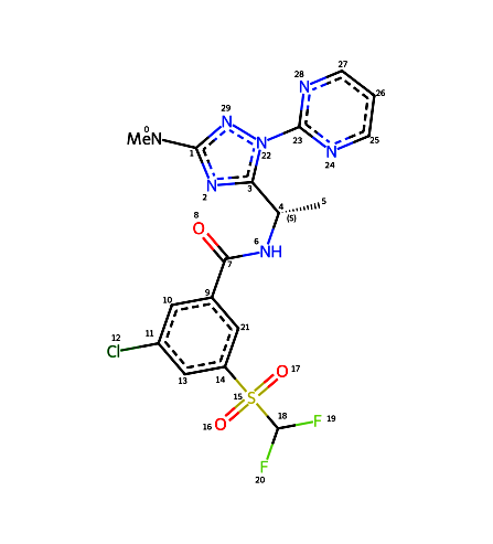 CNc1nc([C@H](C)NC(=O)c2cc(Cl)cc(S(=O)(=O)C(F)F)c2)n(-c2ncccn2)n1